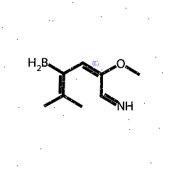 BC(/C=C(\C=N)OC)=C(C)C